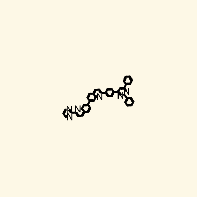 c1ccc(-c2cc(-c3ccc(-c4ccc5ccc(-c6ccc7ccc(-c8ncccn8)nc7c6)cc5n4)cc3)nc(-c3ccccc3)n2)cc1